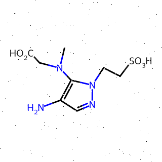 CN(CC(=O)O)c1c(N)cnn1CCS(=O)(=O)O